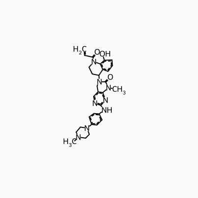 C=CC(=O)N1CCC(N2Cc3cnc(Nc4ccc(N5CCN(C)CC5)cc4)nc3N(C)C2=O)c2cccc(O)c21